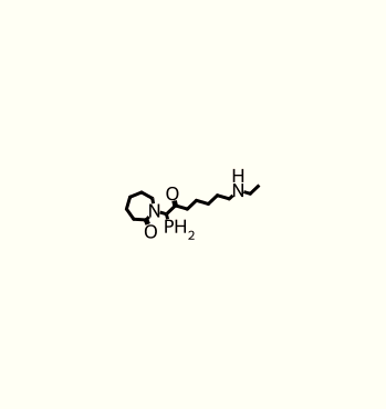 CCNCCCCCC(=O)C(P)N1CCCCCC1=O